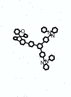 c1ccc(-n2c(-c3ccc(-c4cc(-c5ccc(-c6ccc7c(c6)C6(c8ccccc8Oc8ccccc86)c6ccccc6-7)cc5)cc(-c5ccc(-c6nc7ccccc7n6-c6ccccc6)cc5)c4)cc3)nc3ccccc32)cc1